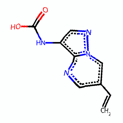 C=Cc1cnc2c(NC(=O)O)cnn2c1